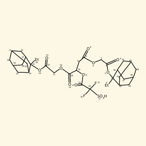 CCC1(OC(=O)COC(=O)CC(OC(=O)C(F)(F)S(=O)(=O)O)C(=O)OCC(=O)OC2(CC)C3CC4CC(C3)CC2C4)C2CC3CC(C2)CC1C3